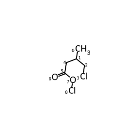 CC(CCl)CC(=O)OCl